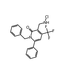 O=c1c(CNCl)c(C(F)(F)F)cc(-c2ccccc2)n1Cc1ccccc1